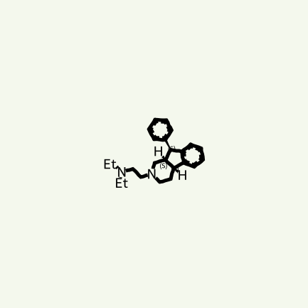 CCN(CC)CCN1CC[C@H]2c3ccccc3[C@H](c3ccccc3)[C@H]2C1